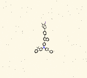 CC1CC2=C(c3ccc(-c4ccc(-c5ccc(N(c6ccc(-c7ccccc7)cc6)c6ccc7c(c6)C(C)(C)c6ccccc6-7)cc5)c5ccccc45)cc3)CC(C2)C1I